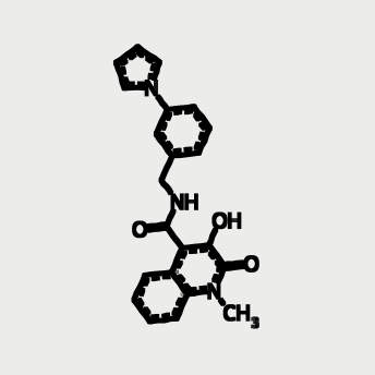 Cn1c(=O)c(O)c(C(=O)NCc2cccc(-n3cccc3)c2)c2ccccc21